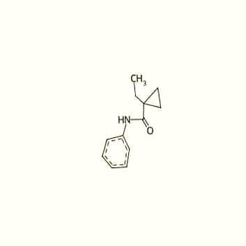 CCC1(C(=O)Nc2ccccc2)CC1